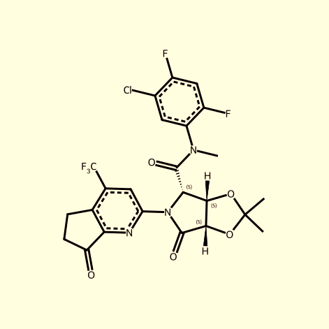 CN(C(=O)[C@@H]1[C@@H]2OC(C)(C)O[C@@H]2C(=O)N1c1cc(C(F)(F)F)c2c(n1)C(=O)CC2)c1cc(Cl)c(F)cc1F